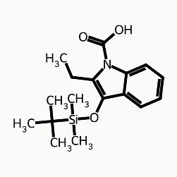 CCc1c(O[Si](C)(C)C(C)(C)C)c2ccccc2n1C(=O)O